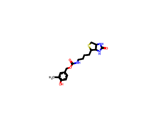 Cc1cc(COC(=O)NCCCCC2SCC3NC(=O)NC32)ccc1O